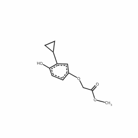 COC(=O)COc1ccc(O)c(C2CC2)c1